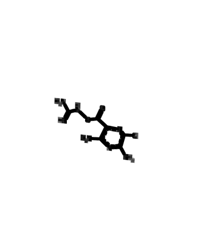 N=C(N)NOC(=O)c1nc(Cl)c(N)nc1N